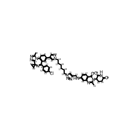 Cc1nnc2n1-c1ccc(-c3cnn(CCCCCCn4cc(CNc5ccc6c(=O)n(C7CCC(=O)NC7=O)c(C)nc6c5)nn4)c3)cc1C(c1ccc(Cl)cc1)=NC21CC1